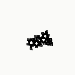 CC1CCC2(C(=O)O)CCC3C(=CCC4C3(C)CCC3C(C)CCCC34C)C2C1